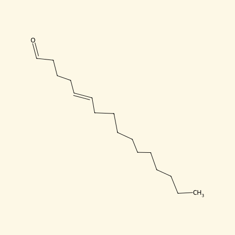 CCCCCCCCCCC=CCCCC=O